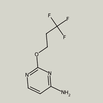 Nc1ccnc(OCCC(F)(F)F)n1